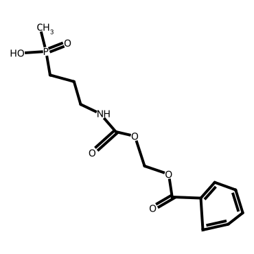 CP(=O)(O)CCCNC(=O)OCOC(=O)c1ccccc1